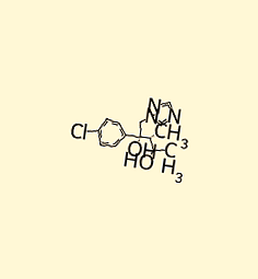 CC(O)[C@@H](C)[C@](O)(Cn1cncn1)c1ccc(Cl)cc1